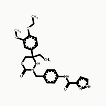 CCOc1ccc(C2(CC)CSC(=O)N(Cc3ccc(NC(=O)c4cc[nH]n4)cc3)N2)cc1OC